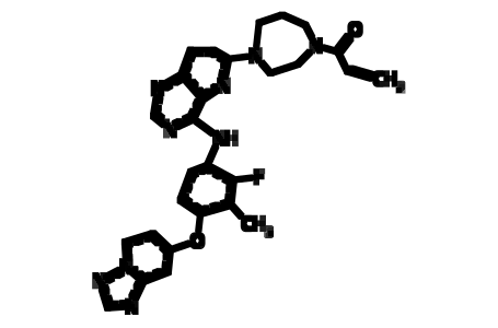 C=CC(=O)N1CCCN(c2ccc3ncnc(Nc4ccc(Oc5ccn6ncnc6c5)c(C)c4F)c3n2)CC1